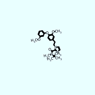 COc1cccc(Oc2ccc(CCn3ccnc3C(=O)N(C)C(C)(C)C)cc2OC)c1